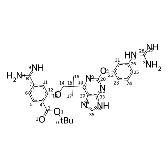 CC(C)(C)OC(=O)c1ccc(C(=N)N)cc1OCC(C)(C)c1nc(Oc2cccc(NC(=N)N)c2)nc2[nH]cnc12